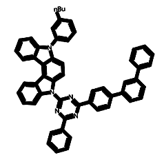 CCCCc1cccc(-n2c3ccccc3c3c4c5ccccc5n(-c5nc(-c6ccccc6)nc(-c6ccc(-c7cccc(-c8ccccc8)c7)cc6)n5)c4ccc32)c1